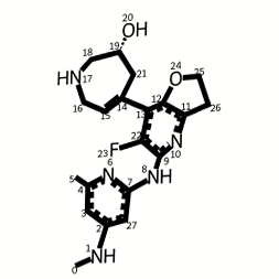 CNc1cc(C)nc(Nc2nc3c(c(C4=CCNC[C@H](O)C4)c2F)OCC3)c1